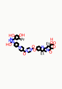 CCc1c2c(nc3ccc(OC(=O)N4CCN(C(=O)C5CCN(c6ccc(-n7c(O)nnc7-c7cc(C(C)C)c(O)cc7O)cc6)CC5)CC4)cc13)-c1cc3c(c(=O)n1C2)COC(=O)C3(O)CC